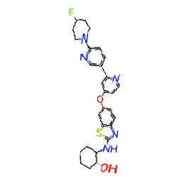 O[C@@H]1CCCC[C@H]1Nc1nc2ccc(Oc3ccnc(-c4ccc(N5CCC(F)CC5)nc4)c3)cc2s1